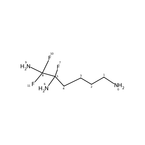 NCCCCC(N)(F)C(N)(F)F